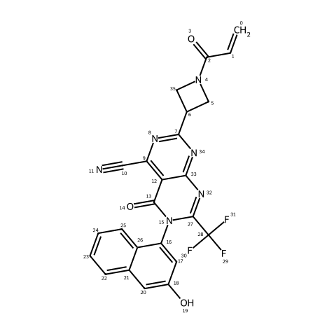 C=CC(=O)N1CC(c2nc(C#N)c3c(=O)n(-c4cc(O)cc5ccccc45)c(C(F)(F)F)nc3n2)C1